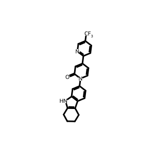 O=c1cc(-c2ccc(C(F)(F)F)cn2)ccn1-c1ccc2c3c([nH]c2c1)CCCC3